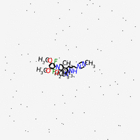 C=Nc1[nH]c(CCN2CCN(C)CC2)cc1C1=C(C)CN(c2c(F)c(OC)cc(OC)c2F)C(=O)C1(C)C